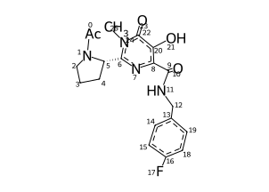 CC(=O)N1CCC[C@H]1c1nc(C(=O)NCc2ccc(F)cc2)c(O)c(=O)n1C